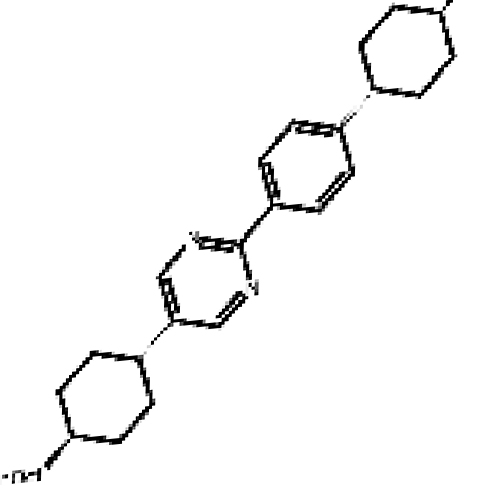 CCCCCCCC[C@H]1CC[C@H](c2cnc(-c3ccc([C@H]4CC[C@H](CC)CC4)cc3)nc2)CC1